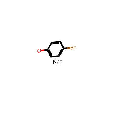 [Na+].[O-]c1ccc(Br)cc1